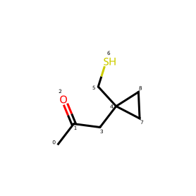 CC(=O)CC1(CS)CC1